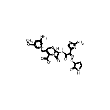 COc1cc(N)c[n+](CC2=C(C(=O)[O-])N3C(=O)[C@@H](NC(=O)/C(=N\OC4CCNC4=O)c4csc(N)n4)[C@@H]3SC2)c1